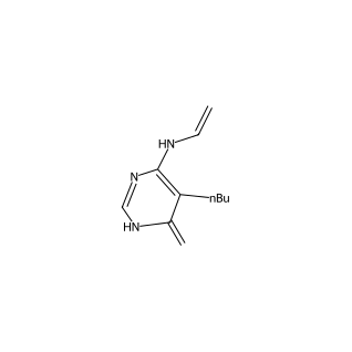 C=CNC1=C(CCCC)C(=C)NC=N1